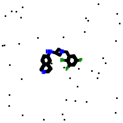 Fc1cc(F)c(F)c(CN2CC(Nc3ccc4cnccc4c3)C2)c1